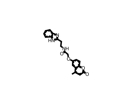 Cc1cc(=O)oc2ccc(OCC(=O)NCCc3nc4ccccc4[nH]3)cc12